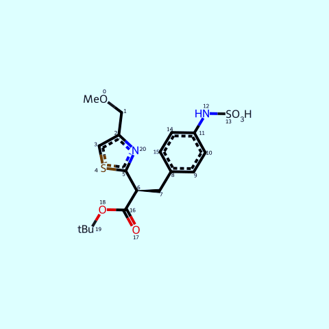 COCc1csc([C@@H](Cc2ccc(NS(=O)(=O)O)cc2)C(=O)OC(C)(C)C)n1